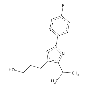 CC(C)c1nn(-c2ccc(F)cn2)cc1CCCO